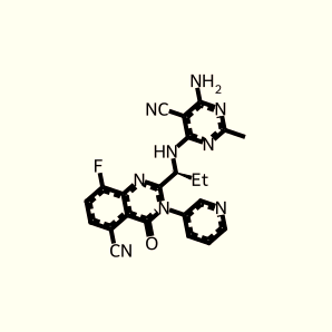 CC[C@H](Nc1nc(C)nc(N)c1C#N)c1nc2c(F)ccc(C#N)c2c(=O)n1-c1cccnc1